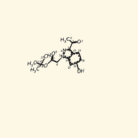 CC(=O)c1nn(CC(=O)OC(C)(C)C)c2cc(O)ccc12